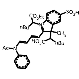 CCCCC(C(=O)OCC)[N+]1=C(/C=C/C=C/N(C(C)=O)c2ccccc2)C(C)(C(CCCC)C(=O)O)c2cc(S(=O)(=O)O)ccc21